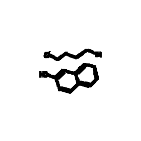 Oc1ccc2ccccc2c1.SCCCCCl